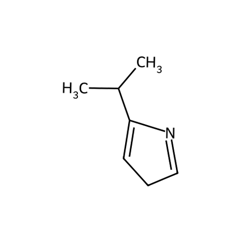 CC(C)C1=CCC=N1